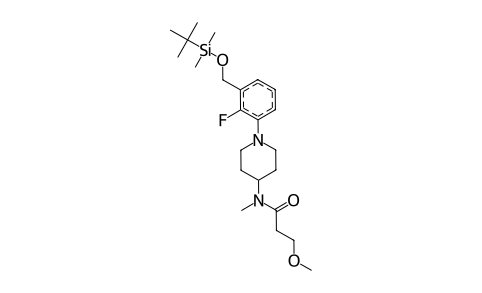 COCCC(=O)N(C)C1CCN(c2cccc(CO[Si](C)(C)C(C)(C)C)c2F)CC1